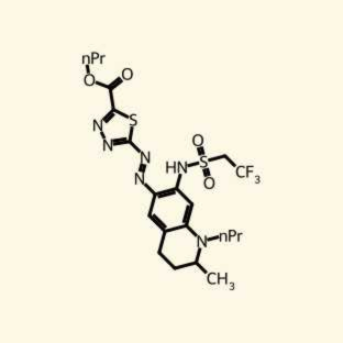 CCCOC(=O)c1nnc(N=Nc2cc3c(cc2NS(=O)(=O)CC(F)(F)F)N(CCC)C(C)CC3)s1